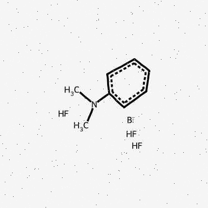 CN(C)c1ccccc1.F.F.F.[B]